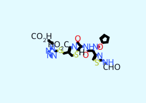 O=CNc1nc(C(=NOC2C=CCC2)C(=O)NC2C(=O)N3C(C(=O)O)=C(CSc4nnnn4CCC(=O)O)CS[C@@H]23)cs1